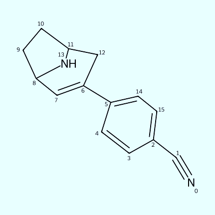 N#Cc1ccc(C2=CC3CCC(C2)N3)cc1